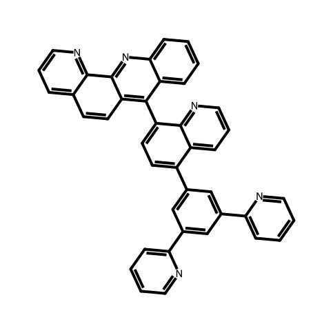 c1ccc(-c2cc(-c3ccccn3)cc(-c3ccc(-c4c5ccccc5nc5c4ccc4cccnc45)c4ncccc34)c2)nc1